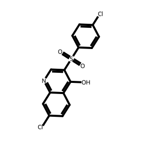 O=S(=O)(c1ccc(Cl)cc1)c1cnc2cc(Cl)ccc2c1O